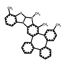 Cc1ccc2c(c1)-c1c(cc3c(c1C)N(C)C1Sc4c(C)cccc4N31)-c1ccccc1-c1ccccc1-2